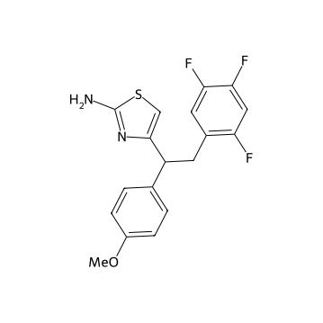 COc1ccc(C(Cc2cc(F)c(F)cc2F)c2csc(N)n2)cc1